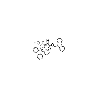 O=C(N[C@@H](COC(c1ccccc1)(c1ccccc1)c1ccccc1)C(=O)O)OCC1c2ccccc2-c2ccccc21